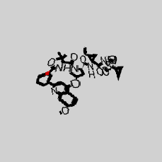 C=C[C@@H]1C[C@]1(NC(=O)[C@@H]1C[C@@H](Oc2cc(-c3ccccc3)nc3cc(OC)ccc23)CN1C(=O)[C@H](NC(C)=O)C(C)(C)C)C(=O)NS(=O)(=O)C1CC1